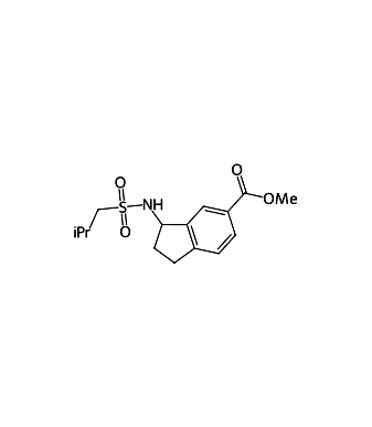 COC(=O)c1ccc2c(c1)C(NS(=O)(=O)CC(C)C)CC2